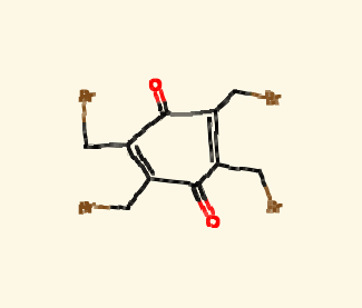 O=C1C(CBr)=C(CBr)C(=O)C(CBr)=C1CBr